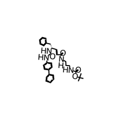 CC(C)(C)OC(=O)NCCCNC(=O)/C=C/[C@@H](Cc1ccccc1)NC(=O)Nc1ccc(-c2ccccc2)cc1